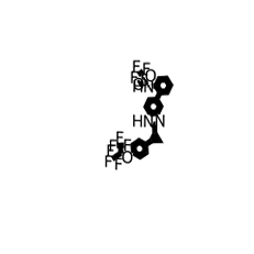 O=S(=O)(Nc1ccccc1-c1ccc2[nH]c(C3CC3c3ccc(OC(C(F)(F)F)C(F)(F)F)cc3)nc2c1)C(F)(F)F